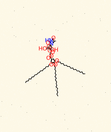 CCCCCCCCCCCCCCCCCCOc1cc(C(=O)OCC(=O)O[C@]2(O)C[C@H](n3cc(C)c(=O)[nH]c3=O)O[C@@H]2CO)cc(OCCCCCCCCCCCCCCCCCC)c1OCCCCCCCCCCCCCCCCCC